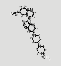 CN1CCN(C2CCN(c3cnc4c(-c5ccnc6ccc(C#N)cc56)cnn4c3)CC2)CC1